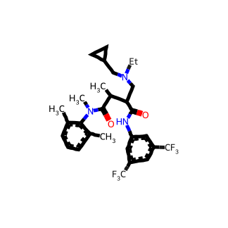 CCN(CC1CC1)CC(C(=O)Nc1cc(C(F)(F)F)cc(C(F)(F)F)c1)C(C)C(=O)N(C)c1c(C)cccc1C